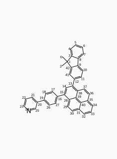 CC1(C)c2ccccc2-c2ccc(-c3cc(-c4ccc(-c5cccnc5)cc4)c4ccc5cccc6ccc3c4c56)cc21